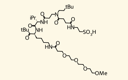 COCCOCCOCCOCCC(=O)NCCCC[C@H](NC(=O)[C@@H](NC(=O)CCN(CCC(C)(C)C)C(=O)CCC(=O)NCCS(=O)(=O)O)C(C)C)C(=O)C(C)(C)C